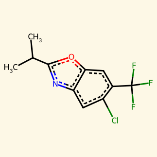 CC(C)c1nc2cc(Cl)c(C(F)(F)F)cc2o1